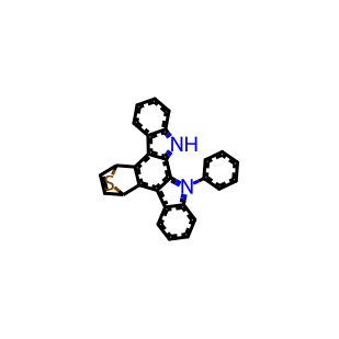 C1=CC2SC1c1c2c2c3ccccc3n(-c3ccccc3)c2c2[nH]c3ccccc3c12